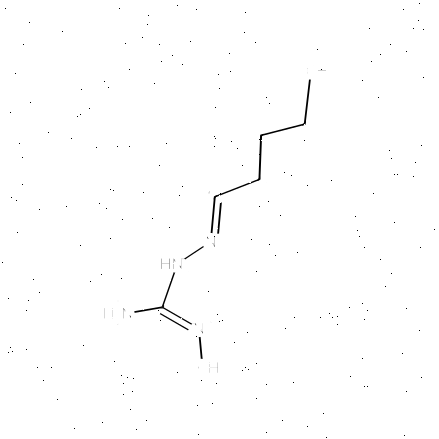 CCCCC=NNC(N)=NC